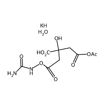 CC(=O)OC(=O)CC(O)(CC(=O)ONC(N)=O)C(=O)O.O.[KH]